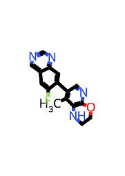 Cc1c(-c2cc3ncncc3cc2F)cnc2c1NCCO2